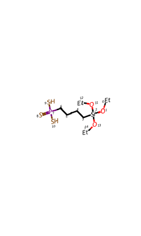 CCO[Si](CCCCP(=S)(S)S)(OCC)OCC